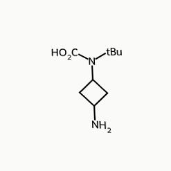 CC(C)(C)N(C(=O)O)C1CC(N)C1